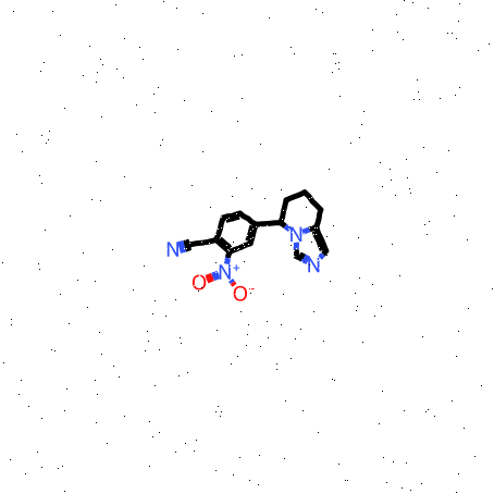 N#Cc1ccc(C2CCCc3cncn32)cc1[N+](=O)[O-]